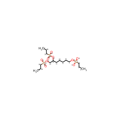 CCCS(=O)(=O)OCCCCCC(COS(=O)(=O)CCC)OS(=O)(=O)CCC